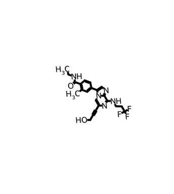 CCNC(=O)c1ccc(-c2cnc3c(NCCC(F)(F)F)nc(C#CCO)cn23)cc1C